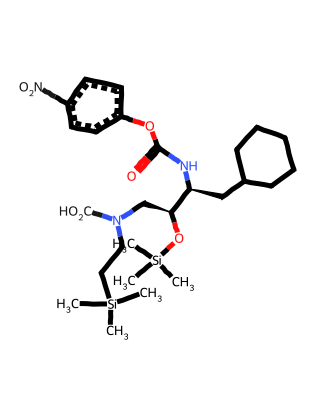 C[Si](C)(C)CCN(C[C@H](O[Si](C)(C)C)[C@H](CC1CCCCC1)NC(=O)Oc1ccc([N+](=O)[O-])cc1)C(=O)O